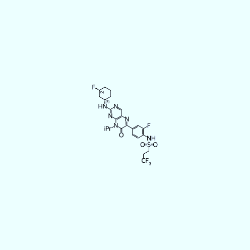 CC(C)n1c(=O)c(-c2ccc(NS(=O)(=O)CCC(F)(F)F)c(F)c2)nc2cnc(N[C@@H]3CCC[C@H](F)C3)nc21